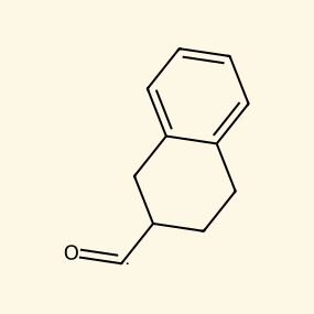 O=[C]C1CCc2ccccc2C1